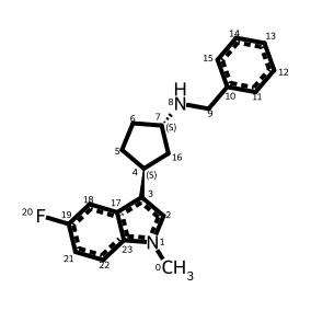 Cn1cc([C@H]2CC[C@H](NCc3ccccc3)C2)c2cc(F)ccc21